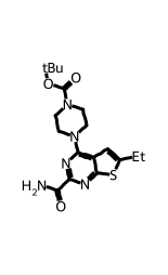 CCc1cc2c(N3CCN(C(=O)OC(C)(C)C)CC3)nc(C(N)=O)nc2s1